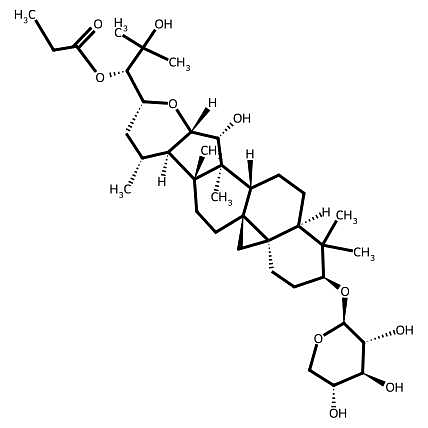 CCC(=O)O[C@@H]([C@H]1C[C@@H](C)[C@H]2[C@H](O1)[C@H](O)[C@@]1(C)[C@@H]3CC[C@H]4C(C)(C)[C@@H](O[C@@H]5OC[C@@H](O)[C@H](O)[C@H]5O)CC[C@@]45C[C@@]35CC[C@]21C)C(C)(C)O